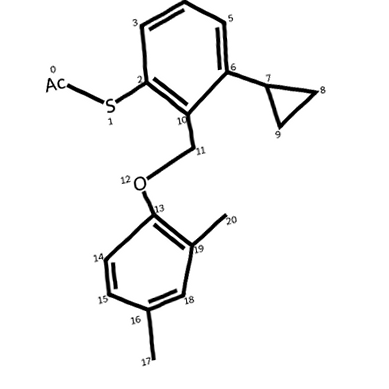 CC(=O)Sc1cccc(C2CC2)c1COc1ccc(C)cc1C